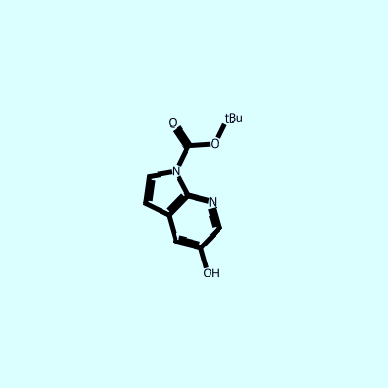 CC(C)(C)OC(=O)n1ccc2cc(O)cnc21